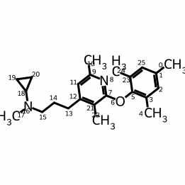 Cc1cc(C)c(Oc2nc(C)cc(CCCN(C)C3CC3)c2C)c(C)c1